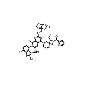 CCC1N(C(=O)n2cncn2)CC12CN(c1nc(OC[C@@]34CCCN3C[C@H](F)C4)nc3c(F)c(-c4ccc(F)c5sc(N)c(C#N)c45)c(Cl)cc13)CCO2